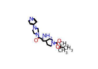 CC(C)(C)OC(=O)N1CCC(C[C@H](N)C(=O)N2CCN(c3ccncc3)CC2)CC1